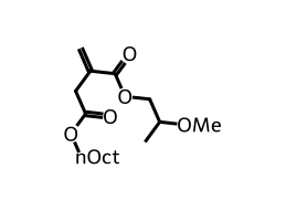 C=C(CC(=O)OCCCCCCCC)C(=O)OCC(C)OC